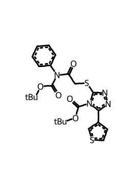 CC(C)(C)OC(=O)N(C(=O)CSc1nnc(-c2ccsc2)n1C(=O)OC(C)(C)C)c1ccccc1